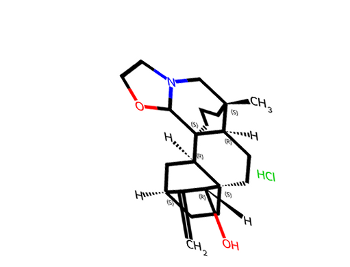 C=C1[C@H]2CC[C@@]3(CC[C@@H]4[C@]5(C)CCC[C@@]4(C4OCCN4C5)[C@@H]3C2)[C@@H]1O.Cl